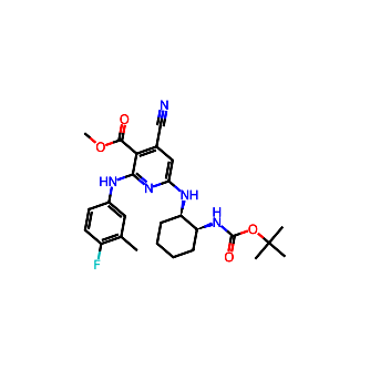 COC(=O)c1c(C#N)cc(N[C@@H]2CCCC[C@@H]2NC(=O)OC(C)(C)C)nc1Nc1ccc(F)c(C)c1